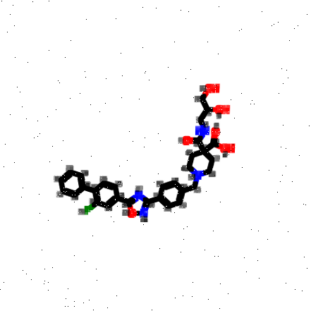 O=C(O)C1(C(=O)NCC(O)CO)CCN(Cc2ccc(-c3noc(-c4ccc(-c5ccccc5)c(F)c4)n3)cc2)CC1